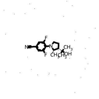 C[C@H]1[C@@H](C(C)(C)O)CCN1c1c(F)cc(C#N)cc1F